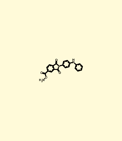 NOC(=O)c1ccc2c(c1)C(=O)N(c1ccc(Nc3ccccc3)cc1)C2=O